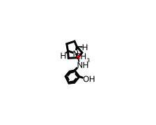 CN1[C@@H]2CC[C@H]1C[C@H](Nc1ccccc1O)C2